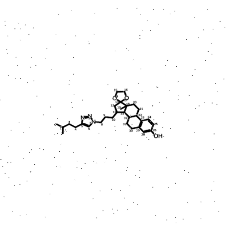 CC(C)CCc1cn(CCCC2CC3(OCCO3)C3(C)CCC4c5ccc(O)cc5CCC4C23)nn1